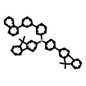 CC1(C)c2ccccc2-c2ccc(-c3ccc(N(c4cccc(-c5cccc(-c6cccc7ccccc67)c5)c4)c4ccc5c(c4)C(C)(C)c4ccccc4-5)cc3)cc21